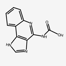 O=C(O)Nc1nc2ccccc2c2[nH]cnc12